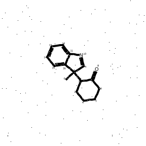 CC1(C2CCCCC2=O)C=Nc2ccccc21